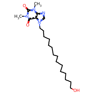 Cn1c(=O)c2c(ncn2CCCCCCCCCCCCCCCO)n(C)c1=O